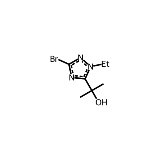 CCn1nc(Br)nc1C(C)(C)O